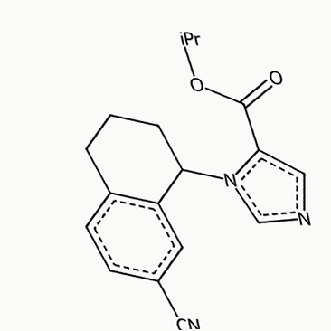 CC(C)OC(=O)c1cncn1C1CCCc2ccc(C#N)cc21